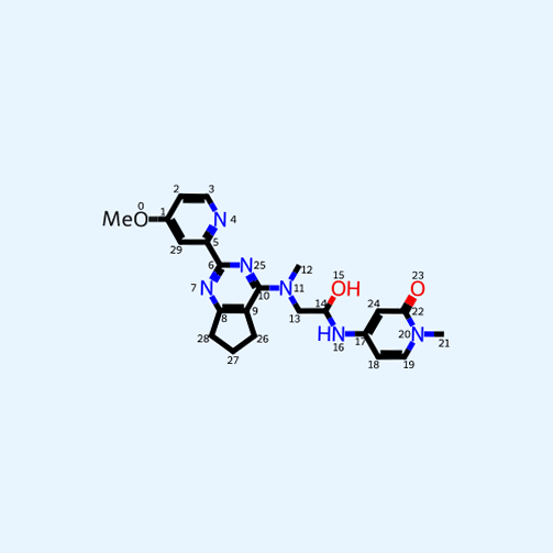 COc1ccnc(-c2nc3c(c(N(C)CC(O)Nc4ccn(C)c(=O)c4)n2)CCC3)c1